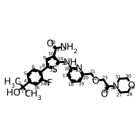 CC(C)(O)c1ccc(-c2cc(C(N)=O)c(Nc3cccc(COCC(=O)N4CCOCC4)n3)s2)c(F)c1